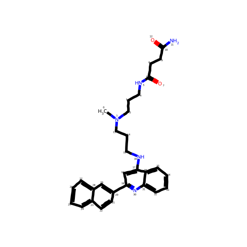 CN(CCCNC(=O)CCC(N)=O)CCCNc1cc(-c2ccc3ccccc3c2)nc2ccccc12